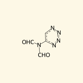 O=CN(C=O)c1cnnnn1